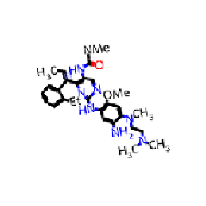 C/C=C(\c1ccccc1CC)c1nc(Nc2cc(N)c(N(C)CCN(C)C)cc2OC)ncc1NC(=O)NC